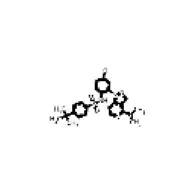 CN(C)c1nccc2c1cnn2-c1cc(Cl)ccc1NS(=O)(=O)c1ccc(C(C)(C)C)cc1